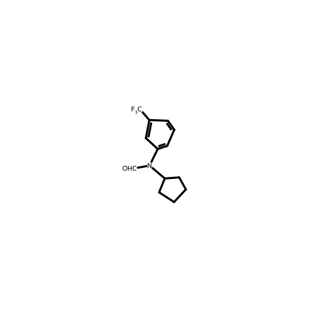 O=CN(c1cccc(C(F)(F)F)c1)C1CCCC1